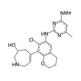 CNc1cc(C)nc(Nc2cc3c(c(C4=CCNCC(O)C4)c2Cl)OCCC3)n1